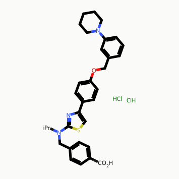 CC(C)N(Cc1ccc(C(=O)O)cc1)c1nc(-c2ccc(OCc3cccc(N4CCCCC4)c3)cc2)cs1.Cl.Cl